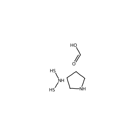 C1CCNC1.O=CO.SNS